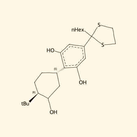 CCCCCCC1(c2cc(O)c([C@H]3CC[C@H](C(C)(C)C)C(O)C3)c(O)c2)SCCS1